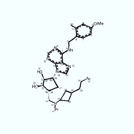 COc1ccc(CNc2ncnc3c2ncn3[C@@H]2C[C@H](CN(C(C)C)C3CC(CCC(C)=O)C3)[C@@H](O)[C@H]2O)c(C)c1